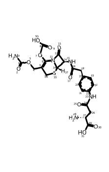 NC(=O)OCC1=C(OC(=O)O)N2C(=O)[C@@H](NC(=O)Cc3ccc(NC(=O)C[C@@H](N)C(=O)O)cc3)[C@@H]2SC1